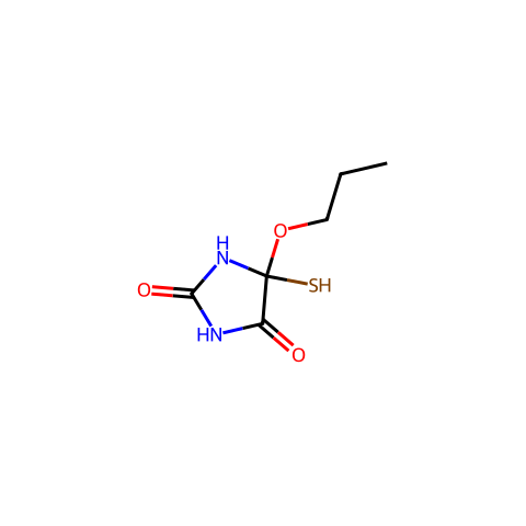 CCCOC1(S)NC(=O)NC1=O